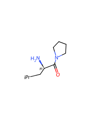 CC(C)C[C@@H](N)C(=O)N1CCCC1